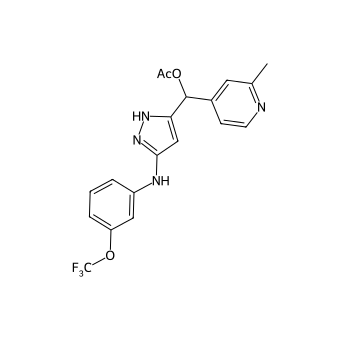 CC(=O)OC(c1ccnc(C)c1)c1cc(Nc2cccc(OC(F)(F)F)c2)n[nH]1